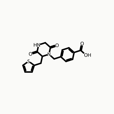 O=C(O)c1ccc(CN2C(=O)CNC(=O)C2Cc2cccs2)cc1